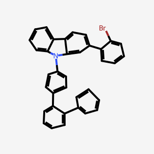 Brc1ccccc1-c1ccc2c3ccccc3n(-c3ccc(-c4ccccc4-c4ccccc4)cc3)c2c1